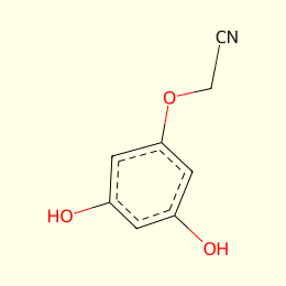 N#CCOc1cc(O)cc(O)c1